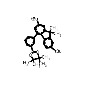 CC(C)(C)c1ccc2c(c1)C(C)(C)c1cc(C(C)(C)C)cc(-c3cccc(B4OC(C)(C)C(C)(C)O4)c3)c1-2